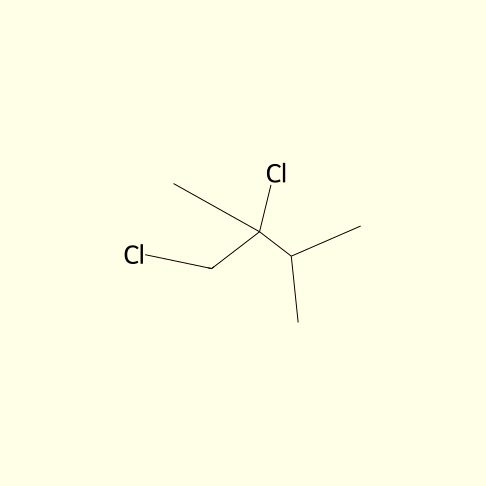 CC(C)C(C)(Cl)CCl